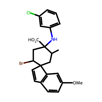 COc1ccc2c(c1)C1(C=C2)CC(C)C(Nc2cccc(Cl)c2)(C(=O)O)CC1Br